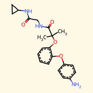 CC(C)(Oc1ccccc1Oc1ccc(N)cc1)C(=O)NCC(=O)NC1CC1